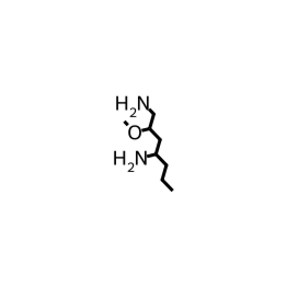 CCCC(N)CC(CN)OC